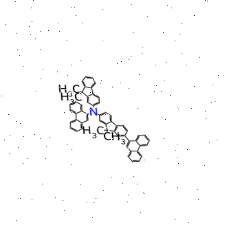 CC1(C)c2ccccc2-c2ccc(N(c3ccc4c(c3)C(C)(C)c3cc(-c5cc6ccccc6c6ccccc56)ccc3-4)c3cc4ccccc4c4ccccc34)cc21